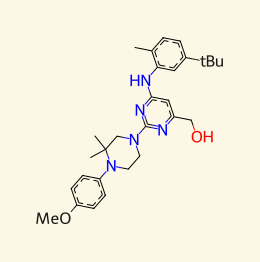 COc1ccc(N2CCN(c3nc(CO)cc(Nc4cc(C(C)(C)C)ccc4C)n3)CC2(C)C)cc1